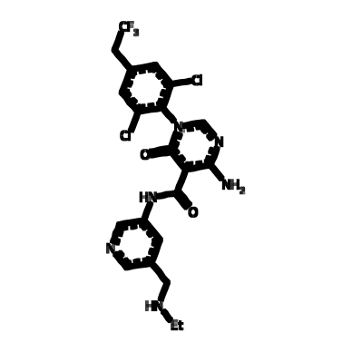 CCNCc1cncc(NC(=O)c2c(N)ncn(-c3c(Cl)cc(CC(F)(F)F)cc3Cl)c2=O)c1